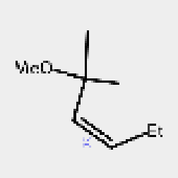 CC/C=C\C(C)(C)OC